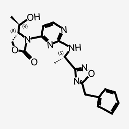 C[C@H](Nc1nccc(N2C(=O)OC[C@@H]2[C@@H](C)O)n1)c1noc(Cc2ccccc2)n1